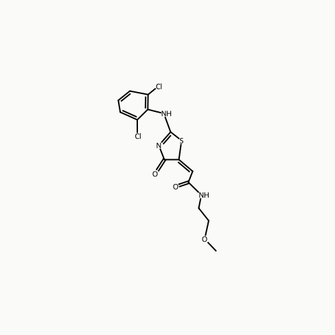 COCCNC(=O)C=C1SC(Nc2c(Cl)cccc2Cl)=NC1=O